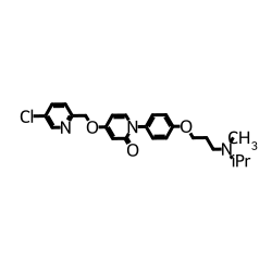 CC(C)N(C)CCCOc1ccc(-n2ccc(OCc3ccc(Cl)cn3)cc2=O)cc1